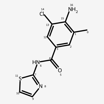 Cc1cc(C(=O)Nc2nccs2)cc(Cl)c1N